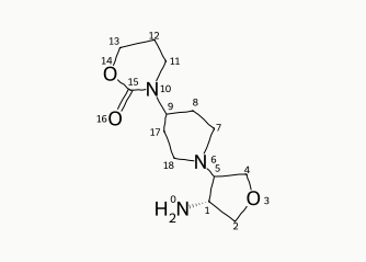 N[C@H]1COCC1N1CCC(N2CCCOC2=O)CC1